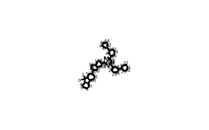 CC1(C)c2ccccc2-c2ccc(-c3ccc4ccc(-c5nc(-c6cccc(-c7ccccc7)c6)nc(-c6cccc(-c7ccccc7)c6)n5)cc4c3)cc21